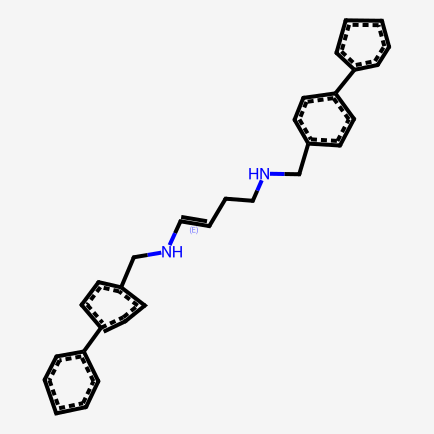 C(=C\NCc1ccc(-c2ccccc2)cc1)/CCNCc1ccc(-c2ccccc2)cc1